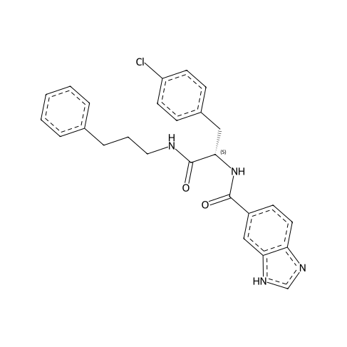 O=C(N[C@@H](Cc1ccc(Cl)cc1)C(=O)NCCCc1ccccc1)c1ccc2nc[nH]c2c1